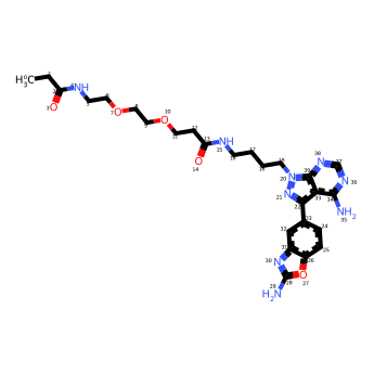 CCC(=O)NCCOCCOCCC(=O)NCCCCn1nc(-c2ccc3oc(N)nc3c2)c2c(N)ncnc21